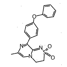 CC1=CN2CCS(=O)(=O)N=C2C(c2ccc(Oc3ccccc3)cc2)=N1